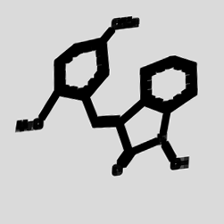 COc1ccc(OC)c(/C=C2/C(=O)N(O)c3ccccc32)c1